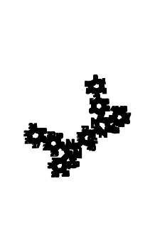 c1ccc(-c2ccc(-c3nc(-c4ccc(-c5nc(-c6ccc(-c7ccccc7)cc6)c6c(n5)sc5ccccc56)cc4)nc4sc5ccccc5c34)cc2)cc1